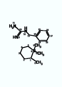 CC1CCCC[Si]1(C)C.N=C(N)NCc1ccccc1